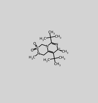 C[C@@H]1N=C(C(C)(C)C)N2CS(=O)(=O)N(C)CC2=C1C(C)(C)C